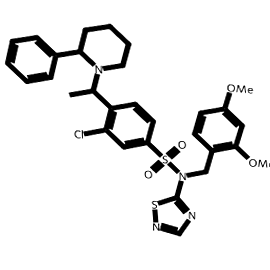 COc1ccc(CN(c2ncns2)S(=O)(=O)c2ccc(C(C)N3CCCCC3c3ccccc3)c(Cl)c2)c(OC)c1